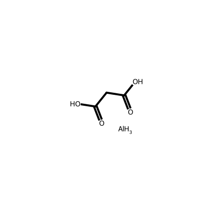 O=C(O)CC(=O)O.[AlH3]